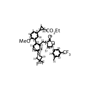 CCOC(=O)[C@@H]1CC1c1ccc(OC)c(-c2cnc(N3CC(F)(F)C3)nc2CN2C(=O)O[C@H](c3cc(C)cc(C(F)(F)F)c3)[C@@H]2C)c1